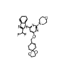 FC(F)c1nc2ccccc2n1-c1cc(OCC2CCC3(CC2)OCCO3)nc(N2CCOCC2)n1